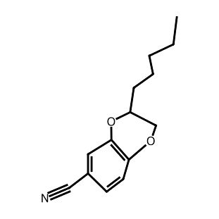 CCCCCC1COc2ccc(C#N)cc2O1